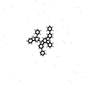 c1ccc(-c2ccc3c(c2)c2c4c5ccccc5n5c6ccc(-c7ccccc7)cc6c(cc2n3-c2nc(-c3ccccc3)c3oc6ccccc6c3n2)c45)cc1